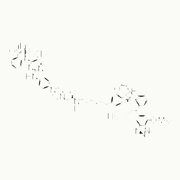 COc1cc(C(CC(=O)O)c2ccc(C)c(CN3C[C@@H](C)Oc4cc(CCCCCCNC(=O)CN5CCN(c6ccc(Nc7ncc(Cl)c(Nc8ccccc8S(=O)(=O)C(C)C)n7)cc6)CC5)ccc4S3(=O)=O)c2)cc2nnn(C)c12